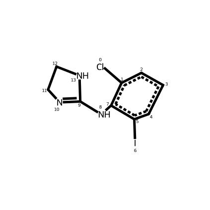 Clc1cccc(I)c1NC1=NCCN1